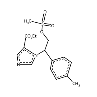 CCOC(=O)c1cncn1C(COS(C)(=O)=O)c1ccc(C)cc1